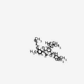 COCCCOc1cc(N(C(=O)[C@@H]2C[C@H](C(=O)NC(CO)CC(C)C)CN(C(=O)OC(C)(C)C)C2)C2CC2)ccc1C